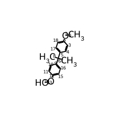 COc1ccc(C(C)(C)c2ccc(OO)cc2)cc1